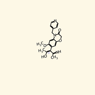 COc1cc2c(cc1/C(C(C)=N)=C(\C)O)OCC(=O)N2Cc1ccncc1